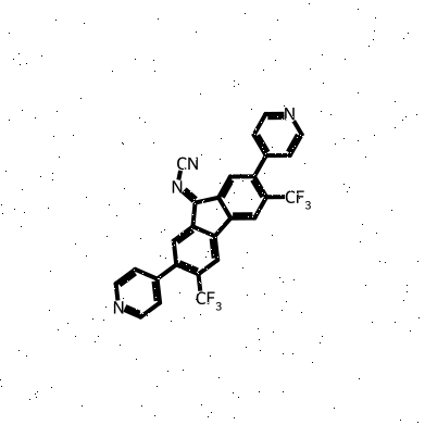 N#CN=C1c2cc(-c3ccncc3)c(C(F)(F)F)cc2-c2cc(C(F)(F)F)c(-c3ccncc3)cc21